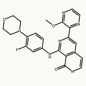 COc1nccnc1-c1cc2c(c(Nc3ccc(N4CCOCC4)c(F)c3)n1)C(=O)[N]C=C2